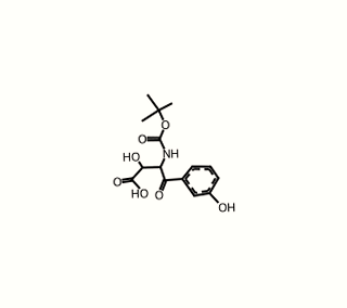 CC(C)(C)OC(=O)NC(C(=O)c1cccc(O)c1)C(O)C(=O)O